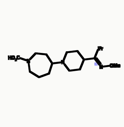 CO/N=C(\C(C)C)C1CCN(C2CCCN(C(=O)O)CC2)CC1